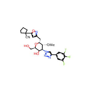 CO[C@@H]1[C@@H](n2cc(-c3cc(F)c(F)c(F)c3)nn2)[C@@H](O)[C@@H](CO)O[C@@H]1Cc1cc(C2(C#N)CCCC2)on1